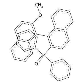 COc1ccc2ccccc2c1-c1c(P(=O)(c2ccccc2)c2ccccc2)ccc2ccccc12